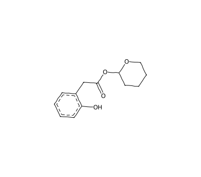 O=C(Cc1ccccc1O)OC1CCCCO1